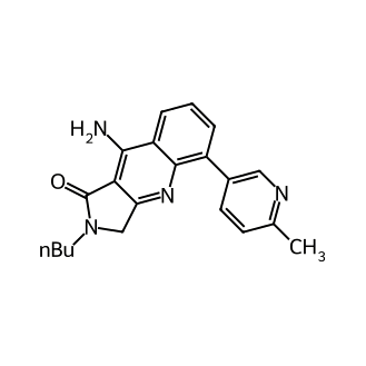 CCCCN1Cc2nc3c(-c4ccc(C)nc4)cccc3c(N)c2C1=O